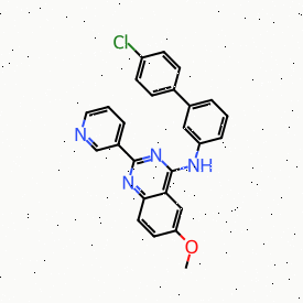 COc1ccc2nc(-c3cccnc3)nc(Nc3cccc(-c4ccc(Cl)cc4)c3)c2c1